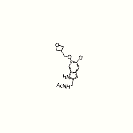 CC(=O)NCc1cc2cc(Cl)c(OCC3COC3)cc2[nH]1